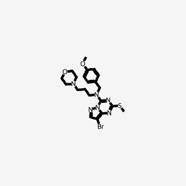 COc1ccc(CN(CCCN2CCOCC2)c2nc(SC)nc3c(Br)cnn23)cc1